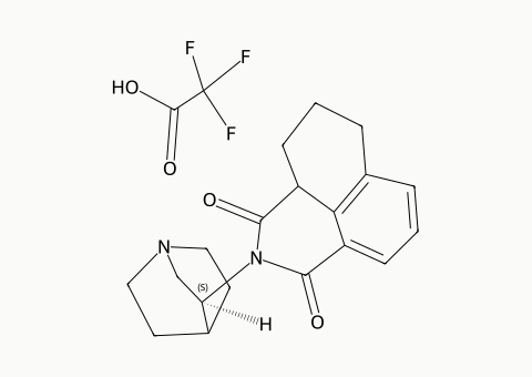 O=C(O)C(F)(F)F.O=C1c2cccc3c2C(CCC3)C(=O)N1[C@@H]1CN2CCC1CC2